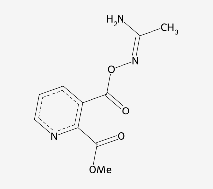 COC(=O)c1ncccc1C(=O)O/N=C(/C)N